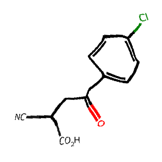 N#CC(CC(=O)c1ccc(Cl)cc1)C(=O)O